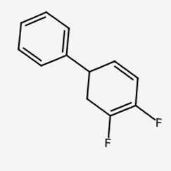 FC1=C(F)CC(c2ccccc2)C=C1